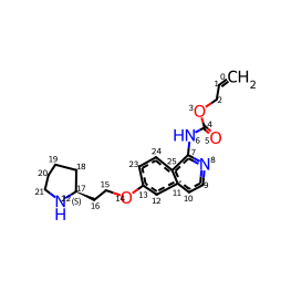 C=CCOC(=O)Nc1nccc2cc(OCC[C@@H]3CCCCN3)ccc12